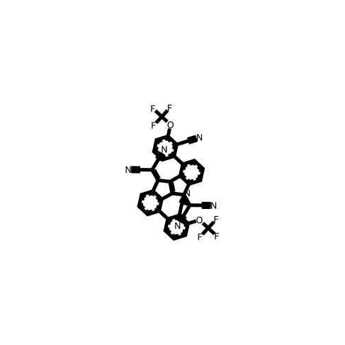 N#CC(C#N)=C1C2=C(C(=C(C#N)C#N)c3cccc(-c4cccc(OC(F)(F)F)c4C#N)c32)c2c1cccc2-c1cccc(OC(F)(F)F)c1C#N